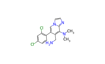 CN(C)c1c(CN)c(-c2ccc(Cl)cc2Cl)cn2ccnc12